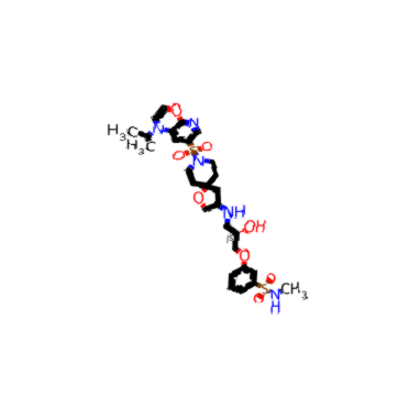 CNS(=O)(=O)c1cccc(OC[C@@H](O)CNC2COC3(CCN(S(=O)(=O)c4cnc5c(c4)N(C(C)C)CCO5)CC3)C2)c1